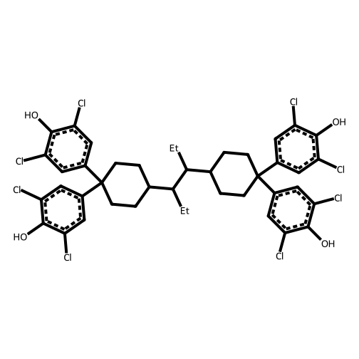 CCC(C1CCC(c2cc(Cl)c(O)c(Cl)c2)(c2cc(Cl)c(O)c(Cl)c2)CC1)C(CC)C1CCC(c2cc(Cl)c(O)c(Cl)c2)(c2cc(Cl)c(O)c(Cl)c2)CC1